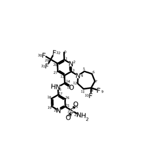 Cc1nc(N2CCCC(F)(F)CC2)c(C(=O)Nc2ccnc(S(N)(=O)=O)c2)cc1C(F)(F)F